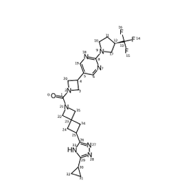 O=C(N1CC(c2cnc(N3CC[C@@H](C(F)(F)F)C3)nc2)C1)N1CC2(CC(c3nnc(C4CC4)[nH]3)C2)C1